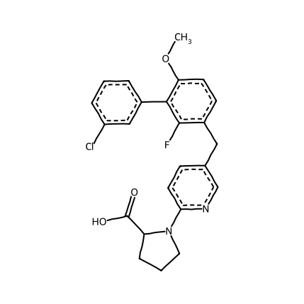 COc1ccc(Cc2ccc(N3CCCC3C(=O)O)nc2)c(F)c1-c1cccc(Cl)c1